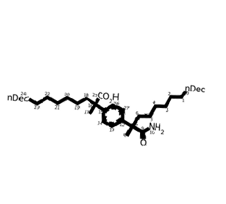 CCCCCCCCCCCCCCCCC(C)(C(N)=O)c1ccc(C(C)(CCCCCCCCCCCCCCCC)C(=O)O)cc1